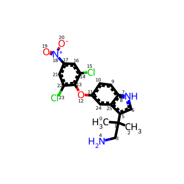 CC(C)(CN)c1c[nH]c2ccc(Oc3c(Cl)cc([N+](=O)[O-])cc3Cl)cc12